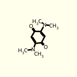 CN(C)C1=CC(=O)C(N(C)C)=CC1=O